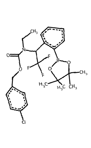 CCN(C(=O)OCc1ccc(Cl)cc1)C(c1ccccc1B1OC(C)(C)C(C)(C)O1)C(F)(F)F